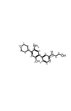 Cc1nc(C2CCOCC2)c(N)cc1-c1ccnc(NCCO)c1